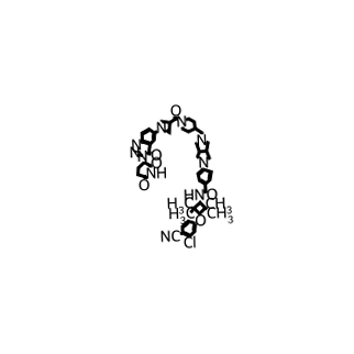 CC1(C)[C@H](NC(=O)c2ccc(N3CC4CN(CC5CCN(C(=O)C6CN(c7ccc8nnn(C9CCC(=O)NC9=O)c(=O)c8c7)C6)CC5)CC4C3)cc2)C(C)(C)[C@H]1Oc1ccc(C#N)c(Cl)c1